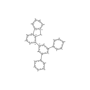 c1ccc(-c2cc(-c3ccccc3)cc(-c3cccc4c3Cc3ccccc3-4)c2)cc1